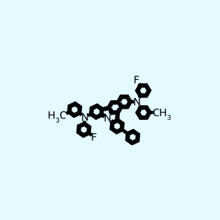 Cc1cccc(N(c2cccc(F)c2)c2ccc3cc4c5ccc(N(c6cccc(C)c6)c6cccc(F)c6)cc5n5c6ccc(-c7ccccc7)cc6c(c3c2)c45)c1